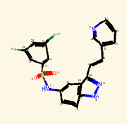 O=S(=O)(Nc1ccc2[nH]nc(/C=C/c3cccnc3)c2c1)c1cc(F)cc(F)c1